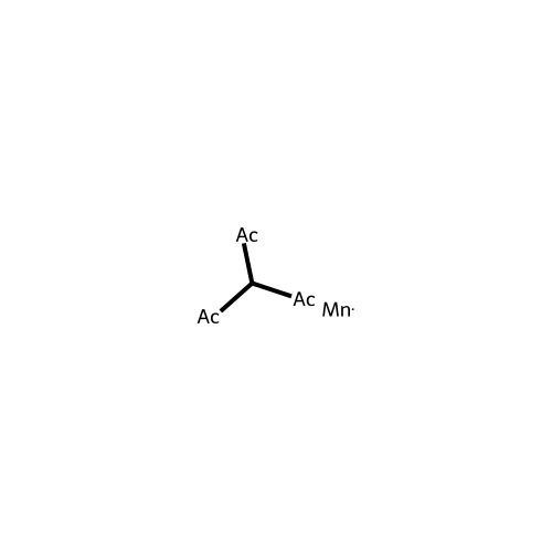 CC(=O)C(C(C)=O)C(C)=O.[Mn]